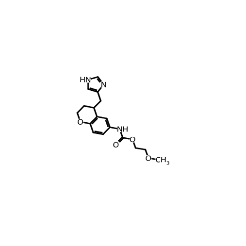 COCCOC(=O)Nc1ccc2c(c1)C(Cc1c[nH]cn1)CCO2